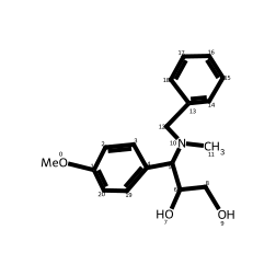 COc1ccc(C(C(O)CO)N(C)Cc2ccccc2)cc1